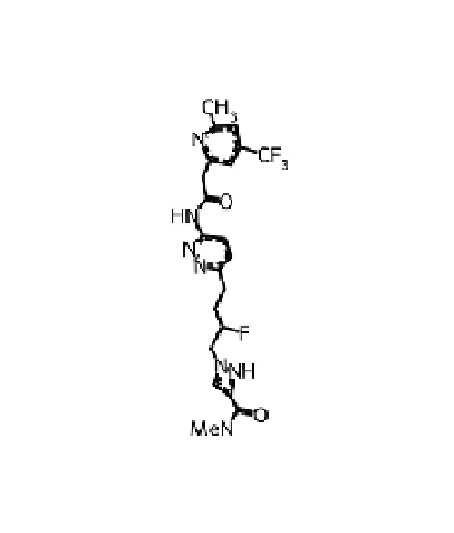 CNC(=O)c1cn(CC(F)CCc2ccc(NC(=O)Cc3cc(C(F)(F)F)cc(C)n3)nn2)[nH]1